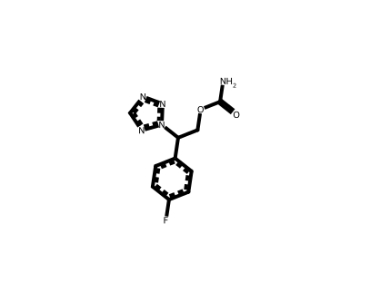 NC(=O)OCC(c1ccc(F)cc1)n1ncnn1